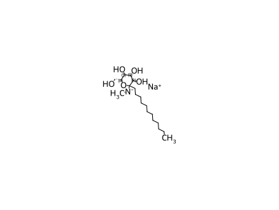 CCCCCCCCCCCCC1([N-]C)O[C@H](CO)[C@@H](O)[C@H](O)[C@H]1O.[Na+]